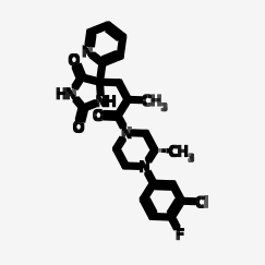 CC(CC1(c2ccccn2)NC(=O)NC1=O)C(=O)N1CCN(c2ccc(F)c(Cl)c2)[C@@H](C)C1